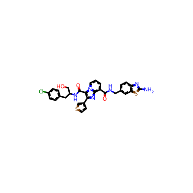 Nc1nc2ccc(CNC(=O)c3cccn4c(C(=O)NC(CO)Cc5ccc(Cl)cc5)c(-c5ccsc5)nc34)cc2s1